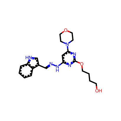 OCCCCOc1nc(NN=Cc2c[nH]c3ccccc23)cc(N2CCOCC2)n1